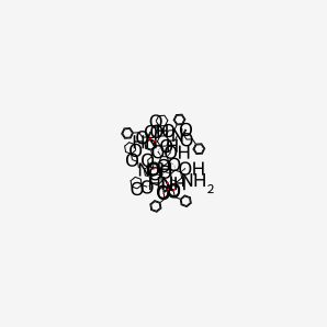 N[C@@H]1C[C@H](NC(=O)OCc2ccccc2)[C@@H](O[C@H]2O[C@H](CN(CCOC3CCCCO3)C(=O)OCc3ccccc3)[C@@H](OC3CCCCO3)C[C@H]2NC(=O)OCc2ccccc2)[C@H](O[C@@H]2O[C@H](CO)[C@@H](O[C@H]3O[C@H]4CN(C(=O)OCc5ccccc5)C(c5ccccc5)O[C@H]4[C@H](OC4CCCCO4)[C@H]3NC(=O)OCc3ccccc3)[C@H]2O)[C@H]1O